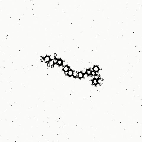 O=C1CCC(N2C(=O)c3ccc(N4CCC5(CCC(CN6CCC(c7ccc8c(c7)-n7c(nc(=O)c9c(Br)cccc97)C87CCCCC7)CC6)CC5)CC4)cc3C2=O)C(=O)N1